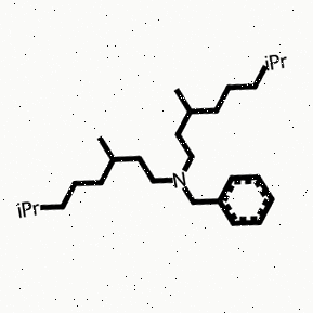 CC(C)CCCC(C)CCN(CCC(C)CCCC(C)C)Cc1ccccc1